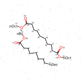 CCCCCCCCCCCCCCCCCC(=O)OCCCC.CCCCCCCCOC(=O)CCCCCCCCC(=O)OCCCCCCCC